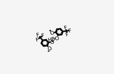 COc1ccc(C(F)(F)F)cc1OBOc1cc(C(F)(F)F)ccc1OC